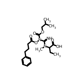 CCC(C(=O)O)N(C)C(=N)N(OC(=O)CCCc1ccccc1)C(=O)OCC(C)C